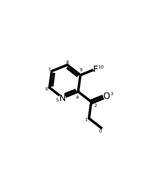 CCC(=O)c1ncccc1F